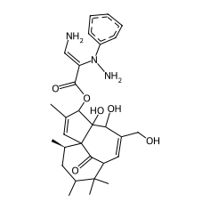 CC1=CC23C(=O)C(C=C(CO)C(O)C2(O)C1OC(=O)/C(=C/N)N(N)c1ccccc1)C(C)(C)C(C)C[C@H]3C